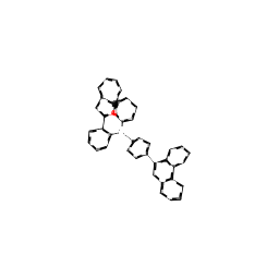 c1ccc(N(c2ccc(-c3cc4ccccc4c4ccccc34)cc2)c2ccccc2-c2cc3ccccc3o2)cc1